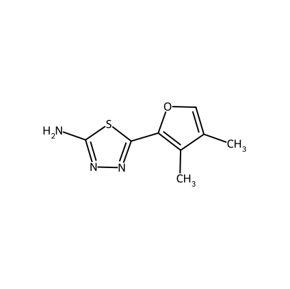 Cc1coc(-c2nnc(N)s2)c1C